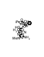 CNc1nc(N)nc2c1ncn2[C@]1(C#N)O[C@H](COP(=O)(N[C@@H](C)C(=O)OC(C)C)Oc2ccccc2)[C@@H](O)[C@@]1(C)F